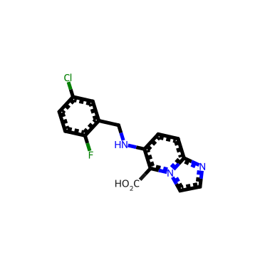 O=C(O)c1c(NCc2cc(Cl)ccc2F)ccc2nccn12